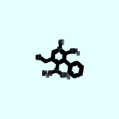 Cc1c(-c2ccccc2)c(N(C)C)c(CCl)c[si]1Cl